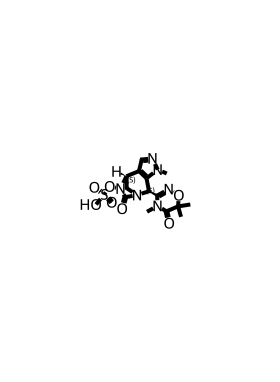 CN1C(=O)C(C)(C)ON=C1[C@@H]1c2c(cnn2C)[C@H]2CN1C(=O)N2OS(=O)(=O)O